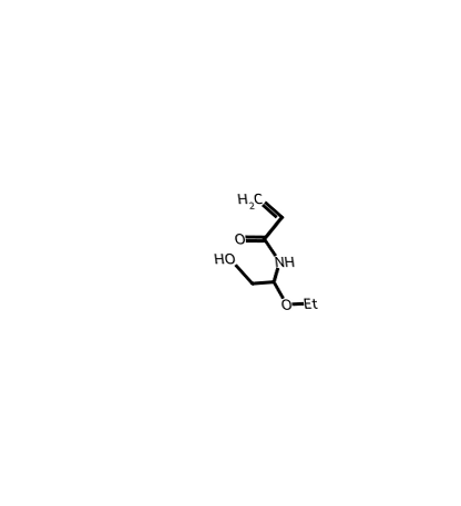 C=CC(=O)NC(CO)OCC